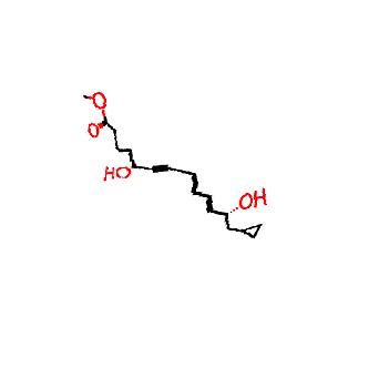 COC(=O)CCC[C@H](O)C#C/C=C/C=C/[C@H](O)CC1CC1